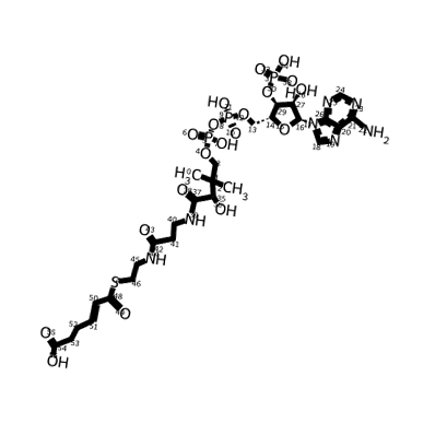 CC(C)(COP(=O)(O)OP(=O)(O)OC[C@H]1O[C@@H](n2cnc3c(N)ncnc32)[C@H](O)[C@@H]1OP(=O)(O)O)C(O)C(=O)NCCC(=O)NCCSC(=O)C=CCCC(=O)O